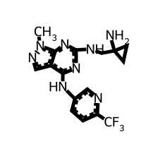 Cn1ncc2c(Nc3ccc(C(F)(F)F)nc3)nc(NCC3(N)CC3)nc21